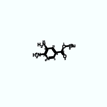 CC(C)(C)OC(=O)c1cnc(N)c(N)c1